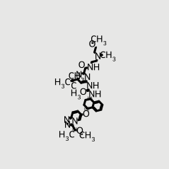 COCCN(C)CCNC(=O)c1nc(NC(=O)N[C@H]2CC[C@@H](Oc3ccc4nnc([C@H](C)OC)n4c3)c3ccccc32)cc(C(C)(C)C)n1